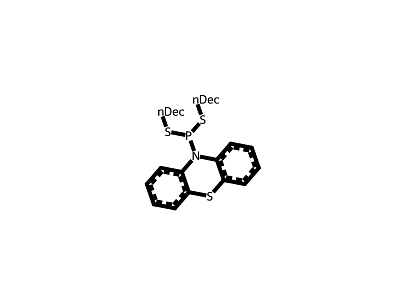 CCCCCCCCCCSP(SCCCCCCCCCC)N1c2ccccc2Sc2ccccc21